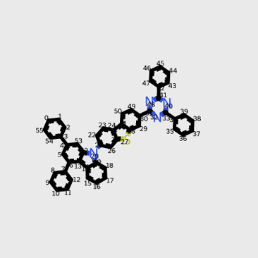 c1ccc(-c2cc(-c3ccccc3)c3c4ccccc4n(-c4ccc5c(c4)sc4cc(-c6nc(-c7ccccc7)nc(-c7ccccc7)n6)ccc45)c3c2)cc1